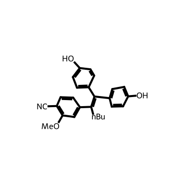 CCCCC(=C(c1ccc(O)cc1)c1ccc(O)cc1)c1ccc(C#N)c(OC)c1